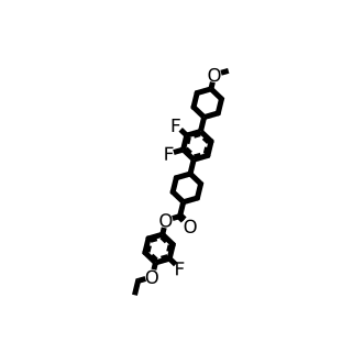 CCOc1ccc(OC(=O)C2CCC(c3ccc(C4CCC(OC)CC4)c(F)c3F)CC2)cc1F